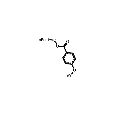 [CH2]CCCCOOC(=O)c1ccc(OCCC)cc1